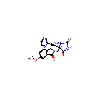 COc1ccc2c(c1)C(=O)N(C[C@@]1(C#Cc3ncccn3)NC(=O)NC1=O)C2